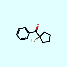 O=C(c1ccccc1)C1(S)CCCC1